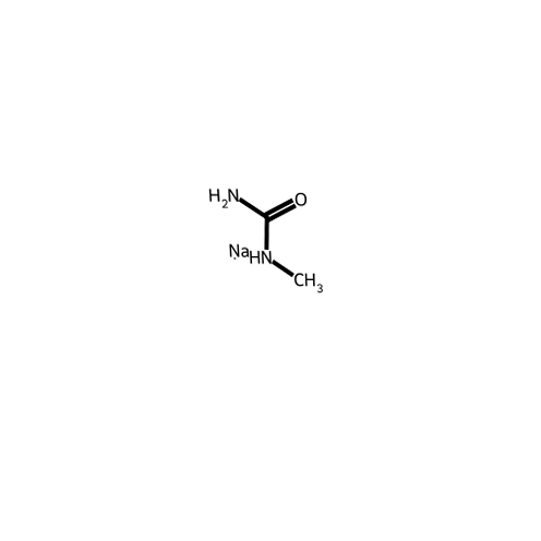 CNC(N)=O.[Na]